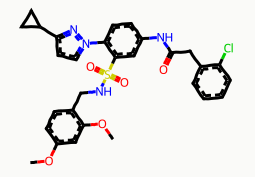 COc1ccc(CNS(=O)(=O)c2cc(NC(=O)Cc3ccccc3Cl)ccc2-n2ccc(C3CC3)n2)c(OC)c1